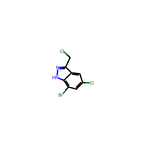 ClCc1n[nH]c2c(Br)cc(Cl)cc12